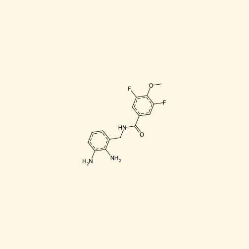 COc1c(F)cc(C(=O)NCc2cccc(N)c2N)cc1F